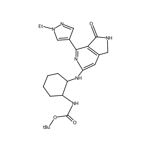 CCn1cc(-c2nc(NC3CCCCC3NC(=O)OC(C)(C)C)cc3c2C(=O)NC3)cn1